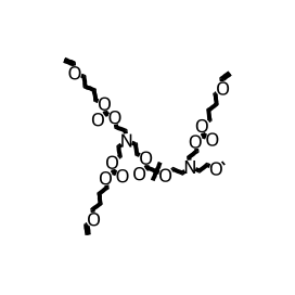 C=COCCCCOC(=O)OCCN(CCOC(=O)OCCCCOC=C)CCOC(=O)C(C)(C)OCCN(CCOC)CCOC(=O)OCCCCOC=C